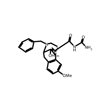 COc1ccc2c(c1)[C@@]13CCN(Cc4ccccc4)C(C2)C1(O)CCC(C(=O)NC(N)=O)C3